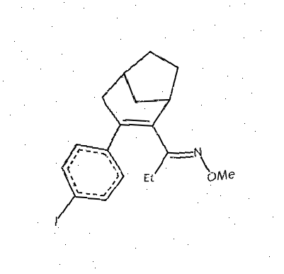 CCC(=NOC)C1=C(c2ccc(I)cc2)CC2CCC1C2